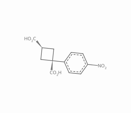 O=C(O)[C@H]1C[C@](C(=O)O)(c2ccc([N+](=O)[O-])cc2)C1